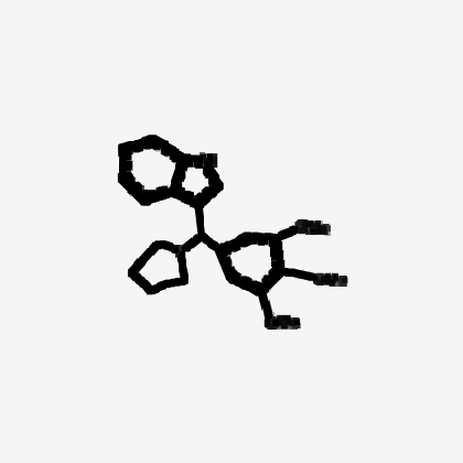 COc1cc(C(c2c[nH]c3ccccc23)N2CCCC2)cc(OC)c1OC